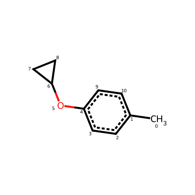 Cc1ccc(OC2CC2)cc1